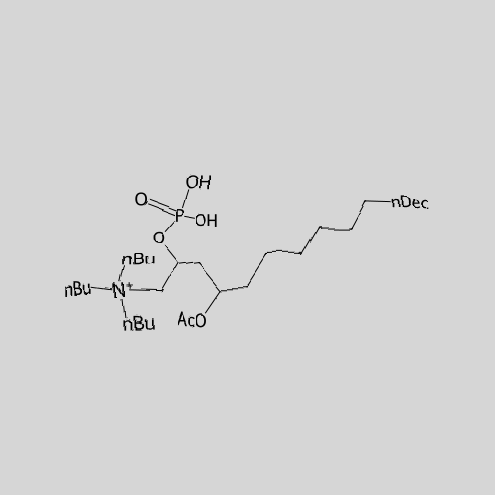 CCCCCCCCCCCCCCCCC(CC(C[N+](CCCC)(CCCC)CCCC)OP(=O)(O)O)OC(C)=O